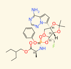 CCC(CC)COC(=O)[C@H](C)N[P@@](=O)(Oc1ccccc1)O[C@@]1(CF)OC[C@@]2(c3ccc4c(N)ncnn34)OC(C)(C)O[C@H]12